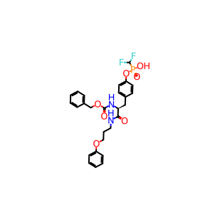 O=C(N[C@@H](Cc1ccc(OP(=O)(O)C(F)F)cc1)C(=O)NCCCOc1ccccc1)OCc1ccccc1